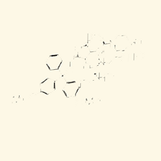 COc1ccc(C(OC[C@H]2O[C@@H](Br)C(OC(=S)N3CC[S+]([O-])CC3)C2OP(NCCC=O)N(C(C)C)C(C)C)(c2ccccc2)c2ccc(OC)cc2)cc1